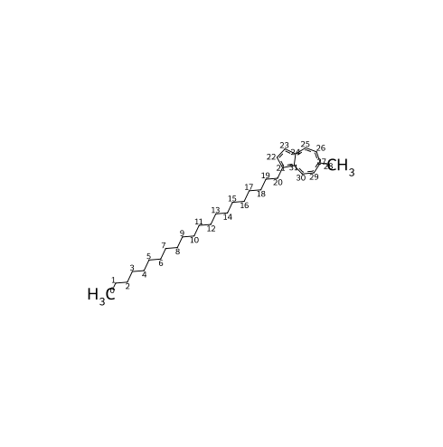 CCCCCCCCCCCCCCCCCCCCCc1ccc2ccc(C)ccc1-2